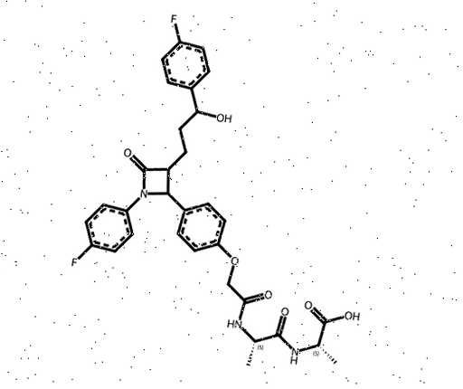 C[C@H](NC(=O)[C@H](C)NC(=O)COc1ccc(C2C(CCC(O)c3ccc(F)cc3)C(=O)N2c2ccc(F)cc2)cc1)C(=O)O